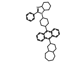 c1ccc(C2=NC3CCCCC3N2C2CCC(c3c4ccccc4c(C4CCC5CCCCCC5C4)c4ccccc34)CC2)cc1